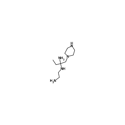 CCC(N)(CN1CCNCC1)NCCN